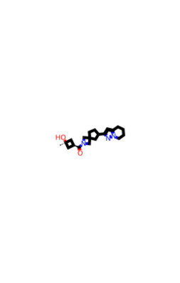 C[C@]1(O)C[C@@H](C(=O)N2CC3(CCC(c4cc5n(n4)CCCC5)C3)C2)C1